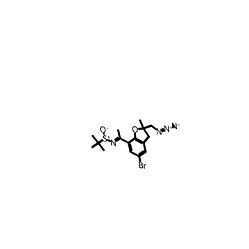 C/C(=N\[S@+]([O-])C(C)(C)C)c1cc(Br)cc2c1OC(C)(CN=[N+]=[N-])C2